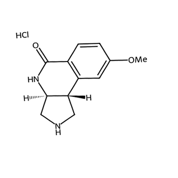 COc1ccc2c(c1)[C@@H]1CNC[C@H]1NC2=O.Cl